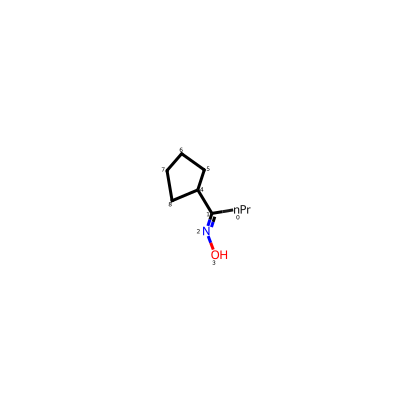 CCC/C(=N\O)C1CCCC1